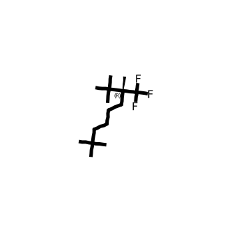 CC(C)(C)CCCC[C@](C)(C(C)(C)C)C(F)(F)F